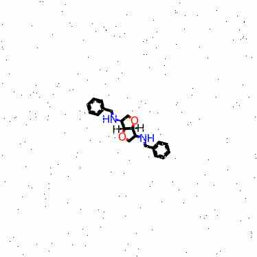 c1ccc(CNC2CO[C@@H]3[C@@H](NCc4ccccc4)CO[C@H]23)cc1